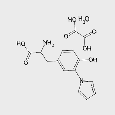 NC(Cc1ccc(O)c(-n2cccc2)c1)C(=O)O.O.O=C(O)C(=O)O